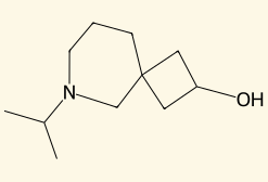 CC(C)N1CCCC2(CC(O)C2)C1